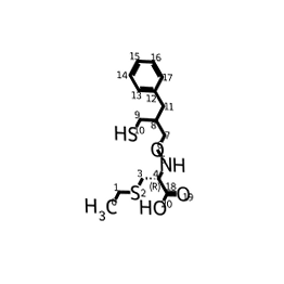 CCSC[C@H](NOCC(CS)Cc1ccccc1)C(=O)O